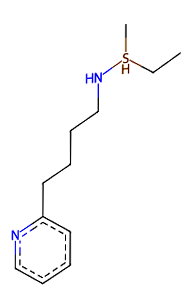 CC[SH](C)NCCCCc1ccccn1